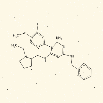 CCN1CCCC1CNC1=NC(NCc2ccccc2)=NC(N)N1c1ccc(OC)c(F)c1